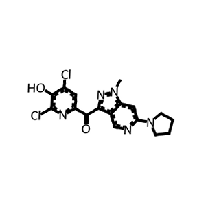 Cn1nc(C(=O)c2cc(Cl)c(O)c(Cl)n2)c2cnc(N3CCCC3)cc21